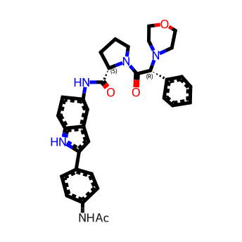 CC(=O)Nc1ccc(-c2cc3cc(NC(=O)[C@@H]4CCCN4C(=O)[C@@H](c4ccccc4)N4CCOCC4)ccc3[nH]2)cc1